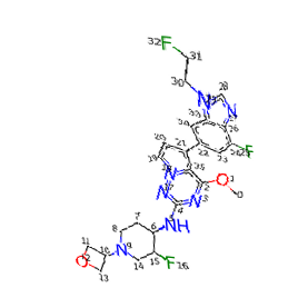 COc1nc(N[C@@H]2CCN(C3COC3)C[C@@H]2F)nn2ccc(-c3cc(F)c4ncn(CCF)c4c3)c12